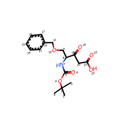 CC(C)(C)OC(=O)NC(COCc1ccccc1)C(=O)CC(=O)O